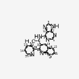 C[C@@H](Nc1ncnc2[nH]cnc12)c1cc2ccsc2nc1-c1ccccn1